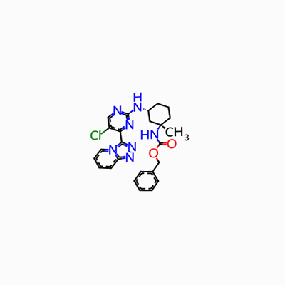 C[C@]1(NC(=O)OCc2ccccc2)CCC[C@@H](Nc2ncc(Cl)c(-c3nnc4ccccn34)n2)C1